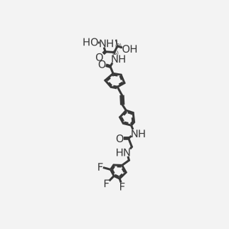 C[C@@H](O)[C@H](NC(=O)c1ccc(C#Cc2ccc(NC(=O)CNCc3cc(F)c(F)c(F)c3)cc2)cc1)C(=O)NO